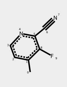 Cc1ccnc(C#N)c1F